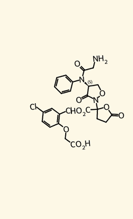 NCC(=O)N(c1ccccc1)[C@H]1CON(C2(C(=O)O)CCC(=O)O2)C1=O.O=C(O)COc1ccc(Cl)cc1Cl